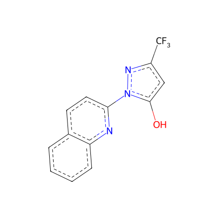 Oc1cc(C(F)(F)F)nn1-c1ccc2ccccc2n1